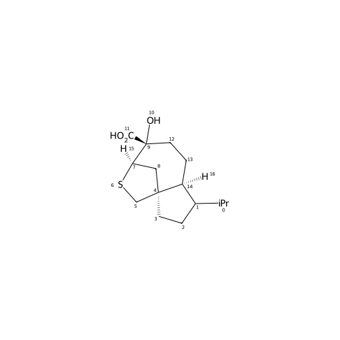 CC(C)C1CC[C@]23CS[C@H](C2)[C@@](O)(C(=O)O)CC[C@@H]13